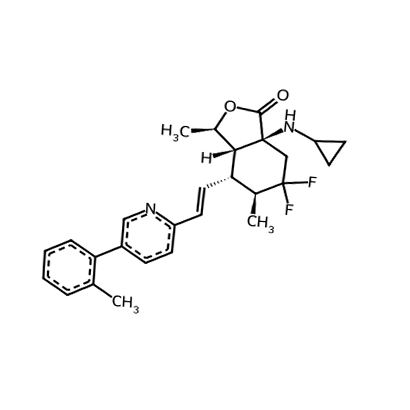 Cc1ccccc1-c1ccc(/C=C/[C@@H]2[C@@H]3[C@@H](C)OC(=O)[C@]3(NC3CC3)CC(F)(F)[C@H]2C)nc1